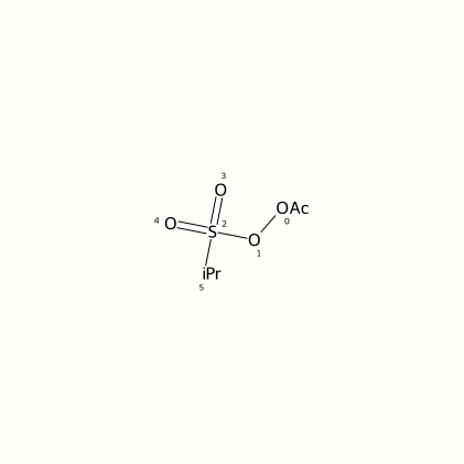 CC(=O)OOS(=O)(=O)C(C)C